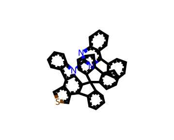 c1ccc(-c2nc(-n3c4ccccc4c4c5cscc5c5c(c43)C3(c4ccccc4-c4ccccc43)c3ccccc3-5)nc3ccccc23)cc1